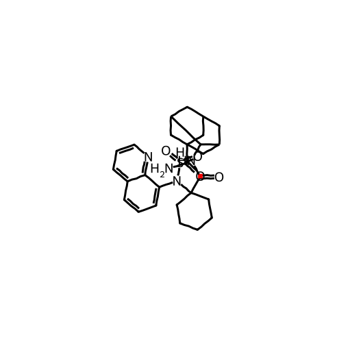 NC(=O)C12CC3CC(C1)C(NC(=O)C1(N(c4cccc5cccnc45)[SH](=O)=O)CCCCC1)C(C3)C2